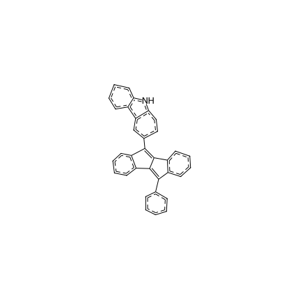 c1ccc(C2=C3C(=C(c4ccc5[nH]c6ccccc6c5c4)c4ccccc43)c3ccccc32)cc1